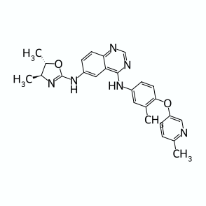 Cc1ccc(Oc2ccc(Nc3ncnc4ccc(NC5=N[C@@H](C)[C@H](C)O5)cc34)cc2C)cn1